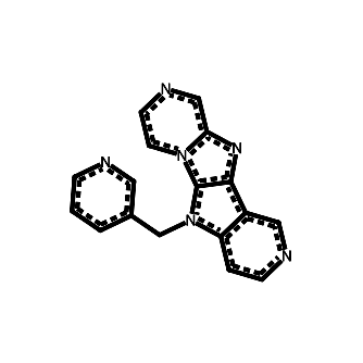 c1cncc(Cn2c3ccncc3c3nc4cnccn4c32)c1